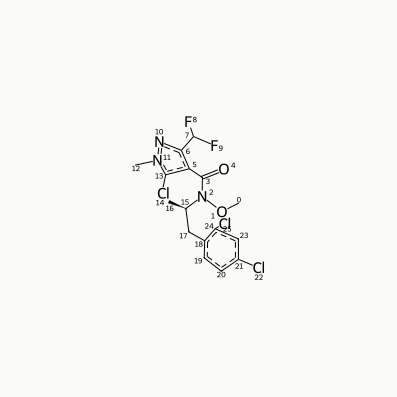 CON(C(=O)c1c(C(F)F)nn(C)c1Cl)[C@H](C)Cc1ccc(Cl)cc1Cl